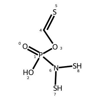 O=P(O)(OC=S)N(S)S